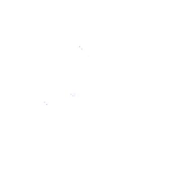 O=C(c1ccccc1)N1CCCCC1c1ccc([N+](=O)[O-])c(NCc2ccccc2)c1